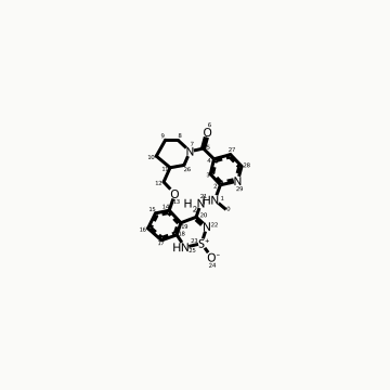 CNc1cc(C(=O)N2CCCC(COc3cccc4c3C(N)=N[S+]([O-])N4)C2)ccn1